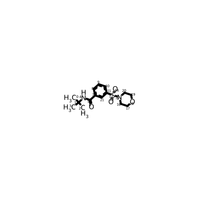 CC(C)(C)NC(=O)c1cccc(S(=O)(=O)N2CCOCC2)c1